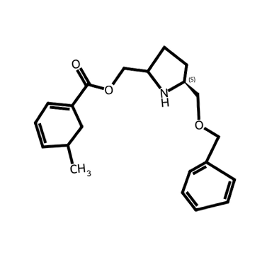 CC1C=CC=C(C(=O)OCC2CC[C@@H](COCc3ccccc3)N2)C1